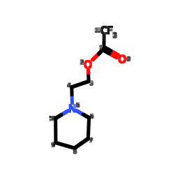 O=C(OCCN1CCCCC1)C(F)(F)F